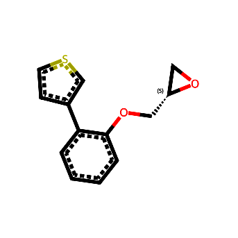 c1ccc(-c2ccsc2)c(OC[C@@H]2CO2)c1